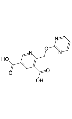 O=C(O)c1cnc(COc2ncccn2)c(C(=O)O)c1